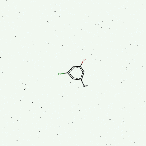 [CH2]CCc1cc(Cl)cc(Br)c1